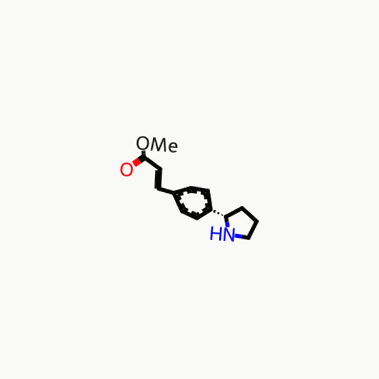 COC(=O)/C=C/c1ccc([C@@H]2CCCN2)cc1